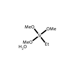 CC[Si](OC)(OC)OC.O